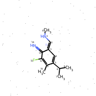 CN/C=C1/C=C(C(C)C)C(C)=C(F)C1=N